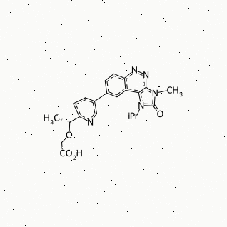 CC(C)n1c(=O)n(C)c2nnc3ccc(-c4ccc([C@@H](C)OCC(=O)O)nc4)cc3c21